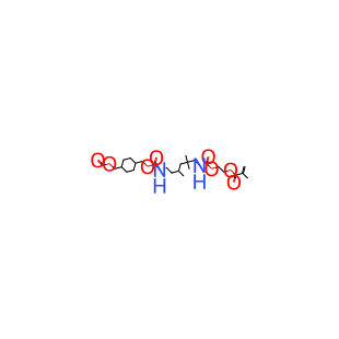 C=C(C)C(=O)OCCOC(=O)NCC(C)(C)CC(C)CCNC(=O)OCC1CCC(COC=O)CC1